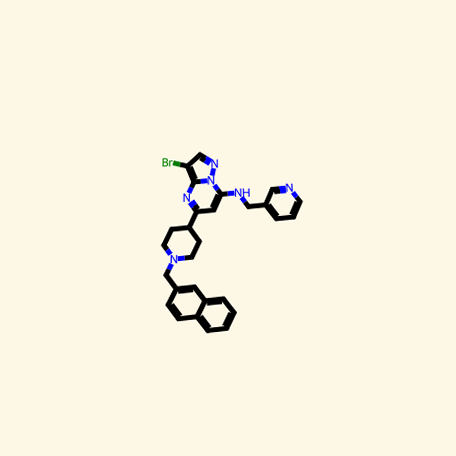 Brc1cnn2c(NCc3cccnc3)cc(C3CCN(Cc4ccc5ccccc5c4)CC3)nc12